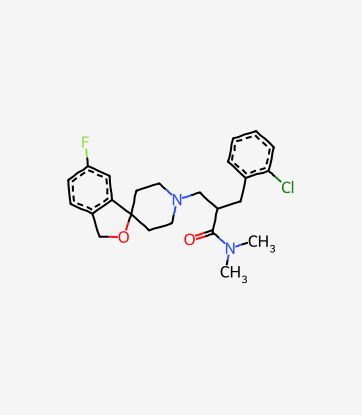 CN(C)C(=O)C(Cc1ccccc1Cl)CN1CCC2(CC1)OCc1ccc(F)cc12